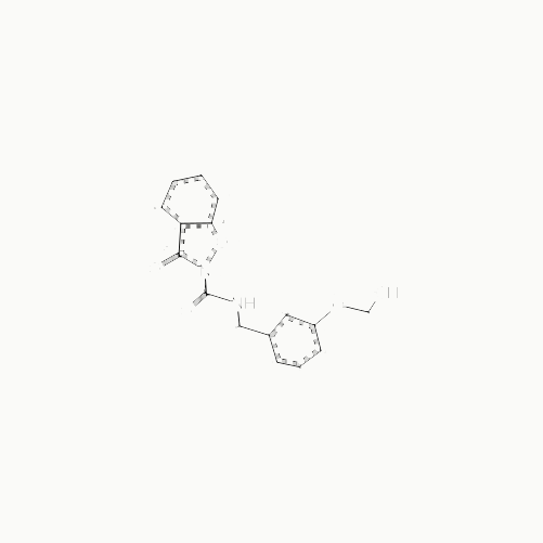 CCOc1cccc(CNC(=O)n2oc3ccccc3c2=O)c1